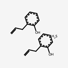 C=CCc1ccccc1O.C=CCc1ccccc1O.S